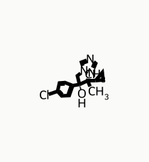 CC(C)(C1CC1)[C@](O)(Cn1cncn1)c1ccc(Cl)cc1